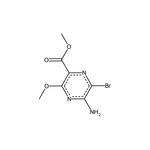 COC(=O)c1nc(Br)c(N)nc1OC